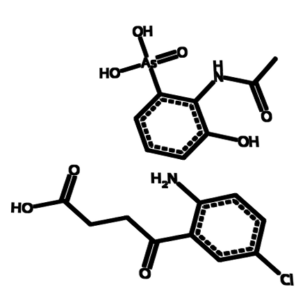 CC(=O)Nc1c(O)cccc1[As](=O)(O)O.Nc1ccc(Cl)cc1C(=O)CCC(=O)O